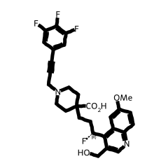 COc1ccc2ncc(CO)c([C@H](F)CCC3(C(=O)O)CCN(CC#Cc4cc(F)c(F)c(F)c4)CC3)c2c1